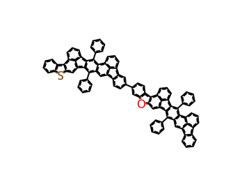 c1ccc(-c2c3cc4c5ccccc5c5cccc(c3c(-c3ccccc3)c3c6cccc7c8c(cc(c23)c67)oc2cc(-c3ccc6c(c3)c3cccc7c9c(-c%10ccccc%10)c%10c%11cccc%12c%13c(cc(c%10c(-c%10ccccc%10)c9cc6c37)c%11%12)sc3ccccc3%13)ccc28)c54)cc1